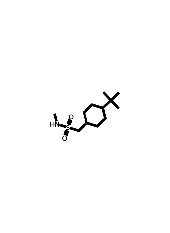 CNS(=O)(=O)CC1CCC(C(C)(C)C)CC1